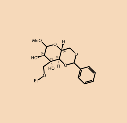 CCOC[C@]1(O)[C@@H]2OC(c3ccccc3)OC[C@H]2OC(OC)[C@@H]1O